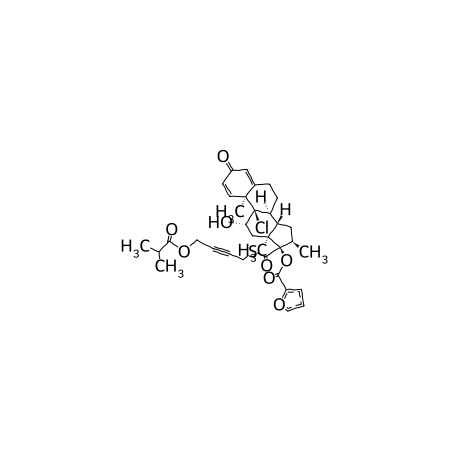 CC(C)C(=O)OCC#CCSC(=O)[C@@]1(OC(=O)c2ccco2)[C@H](C)C[C@H]2[C@@H]3CCC4=CC(=O)C=C[C@]4(C)[C@@]3(Cl)[C@@H](O)C[C@@]21C